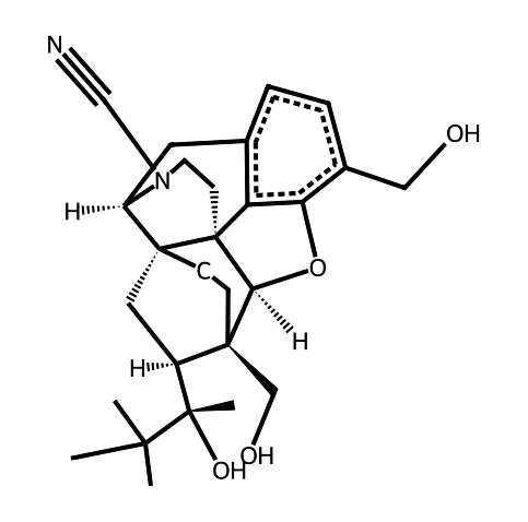 CC(C)(C)[C@@](C)(O)[C@H]1C[C@@]23CC[C@]1(CO)[C@@H]1Oc4c(CO)ccc5c4[C@@]12CCN(C#N)[C@@H]3C5